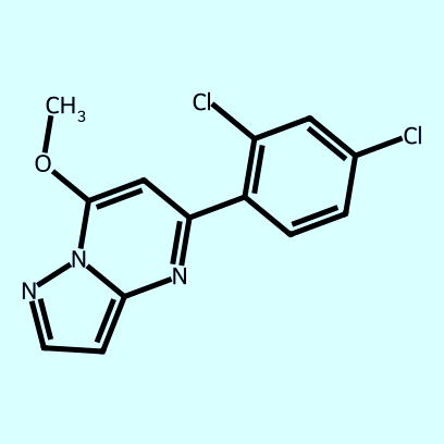 COc1cc(-c2ccc(Cl)cc2Cl)nc2ccnn12